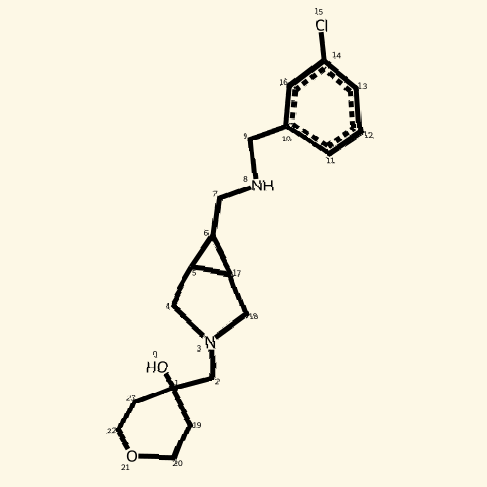 OC1(CN2CC3C(CNCc4cccc(Cl)c4)C3C2)CCOCC1